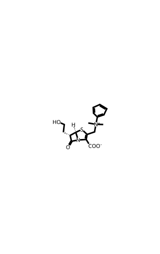 C[N+](C)(CC1=C(C(=O)[O-])N2C(=O)[C@H](CCO)[C@H]2S1)c1ccccc1